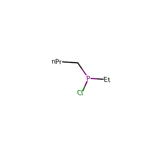 CCCCP(Cl)CC